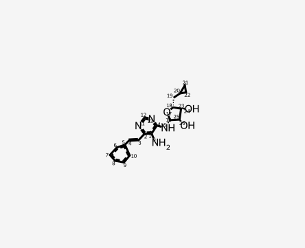 Nc1c(/C=C/c2ccccc2)ncnc1N[C@@H]1O[C@H](CC2CC2)[C@@H](O)[C@H]1O